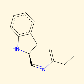 C=C(CC)/N=C\[C@@H]1Cc2ccccc2N1